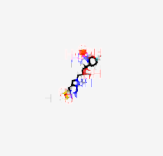 CC(C)(C[C@@](O)(Cc1cc2cc(S(C)(=O)=O)ncc2[nH]1)C(F)(F)F)c1ccc(F)cc1NP(=O)(O)O